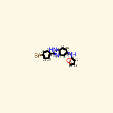 Brc1ccc(-c2nc3cc(Nc4ccco4)ccc3[nH]2)cc1